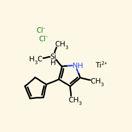 Cc1[nH]c([SiH](C)C)c(C2=CC=CC2)c1C.[Cl-].[Cl-].[Ti+2]